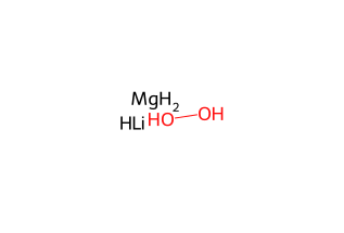 OO.[LiH].[MgH2]